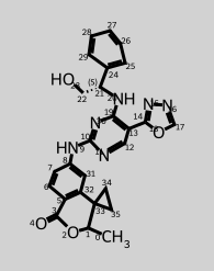 CC1OC(=O)c2ccc(Nc3ncc(-c4nnco4)c(N[C@H](CO)c4ccccc4)n3)cc2C12CC2